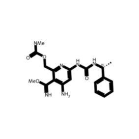 CNC(=O)OCc1nc(NC(=O)N[C@H](C)c2ccccc2)cc(N)c1C(=N)OC